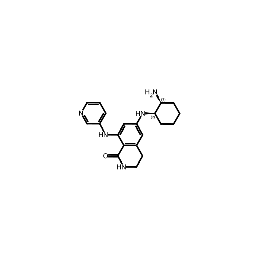 N[C@H]1CCCC[C@H]1Nc1cc2c(c(Nc3cccnc3)c1)C(=O)NCC2